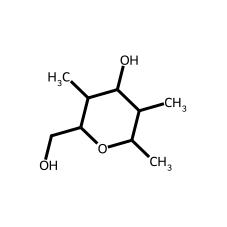 CC1OC(CO)C(C)C(O)C1C